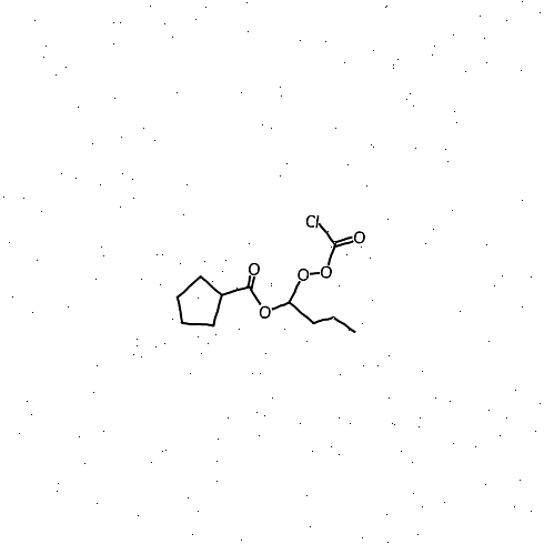 CCCC(OOC(=O)Cl)OC(=O)C1CCCC1